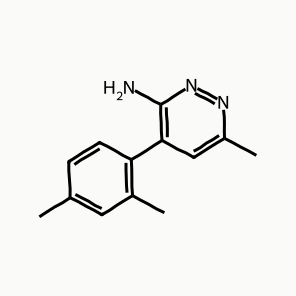 Cc1ccc(-c2cc(C)nnc2N)c(C)c1